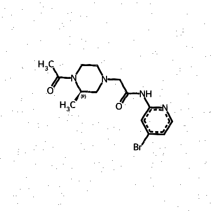 CC(=O)N1CCN(CC(=O)Nc2cc(Br)ccn2)C[C@H]1C